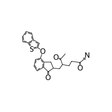 CC(=O)C(CCC(=O)C#N)CC1Cc2c(Oc3cc4ccccc4s3)cccc2C1=O